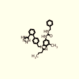 CCCc1nc2c(C)cc(NC(=O)NCc3ccccc3)cc2n1Cc1ccc(-c2ccccc2-c2nnn[nH]2)cc1